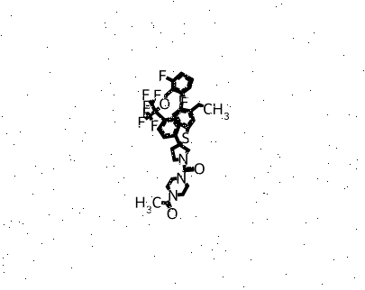 CCc1cc(SC2(c3ccc(C(OCc4c(F)cccc4F)(C(F)(F)F)C(F)(F)F)cc3)CCN(C(=O)N3CCN(C(C)=O)CC3)C2)ccc1F